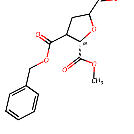 COC(=O)[C@H]1OC(C=O)CC1C(=O)OCc1ccccc1